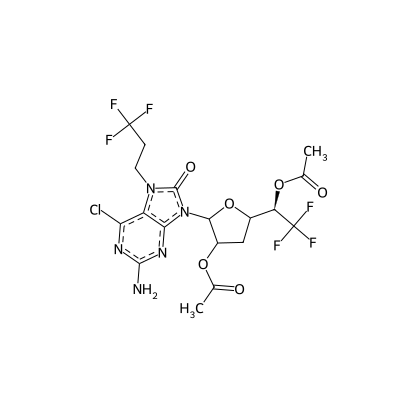 CC(=O)OC1CC([C@@H](OC(C)=O)C(F)(F)F)OC1n1c(=O)n(CCC(F)(F)F)c2c(Cl)nc(N)nc21